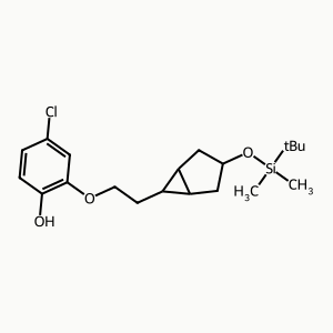 CC(C)(C)[Si](C)(C)OC1CC2C(CCOc3cc(Cl)ccc3O)C2C1